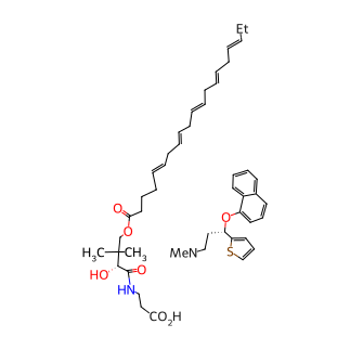 CCC=CCC=CCC=CCC=CCC=CCCCC(=O)OCC(C)(C)[C@@H](O)C(=O)NCCC(=O)O.CNCC[C@H](Oc1cccc2ccccc12)c1cccs1